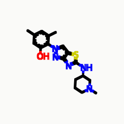 Cc1cc(C)c(-n2cc3sc(N[C@@H]4CCCN(C)C4)nc3n2)c(O)c1